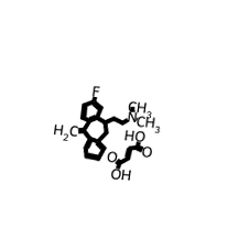 C=C1c2ccccc2CC(CCN(C)C)c2cc(F)ccc21.O=C(O)C=CC(=O)O